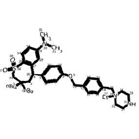 CCCCC1(CCCC)C[C@H](c2ccc(OCc3ccc(C[N+]4(CC)CCNCC4)cc3)cc2)c2cc(N(C)C)ccc2S(=O)(=O)C1